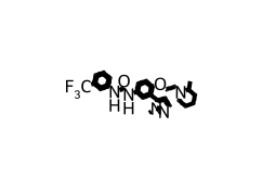 CC1CCCCN1CCOc1ccc(NC(=O)Nc2cccc(C(F)(F)F)c2)cc1-c1ccnn1C